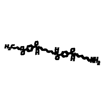 CCCCOC(=O)c1ccc(C(=O)NCCCCCCNC(=O)c2ccc(C(=O)NCCCCCCN)cc2)cc1